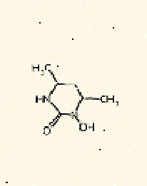 CC1CC(C)N(O)C(=O)N1